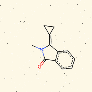 CN1C(=O)c2ccccc2C1=C1CC1